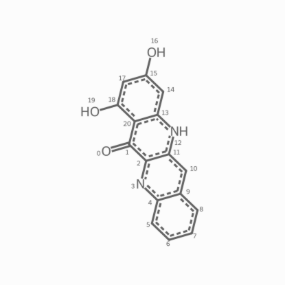 O=c1c2nc3ccccc3cc2[nH]c2cc(O)cc(O)c12